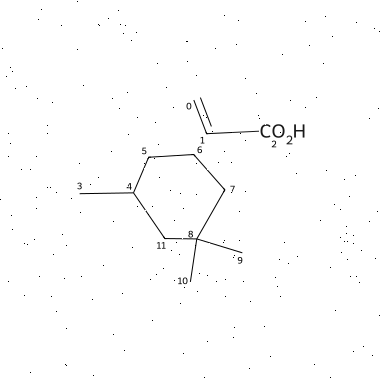 C=CC(=O)O.CC1CCCC(C)(C)C1